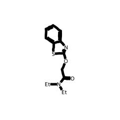 CCN(CC)C(=O)COc1nc2ccccc2s1